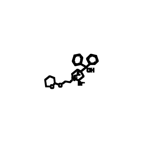 OC(c1ccccc1)(c1ccccc1)C12CC[N+](CCOC3CCCCO3)(CC1)CC2.[Br-]